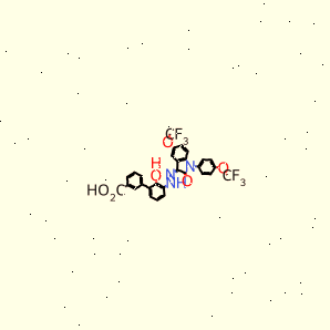 O=C(O)c1cccc(-c2cccc(NN=C3C(=O)N(c4ccc(OC(F)(F)F)cc4)c4ccc(OC(F)(F)F)cc43)c2O)c1